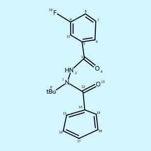 CC(C)(C)N(NC(=O)c1cccc(F)c1)C(=O)c1ccccc1